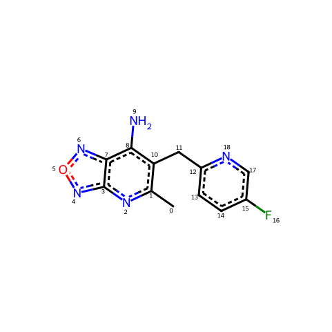 Cc1nc2nonc2c(N)c1Cc1ccc(F)cn1